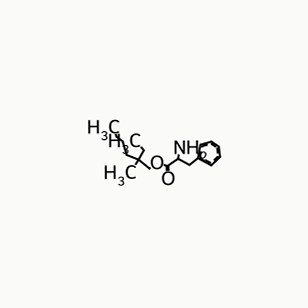 CCCCC(C)(CC)COC(=O)C(N)Cc1ccccc1